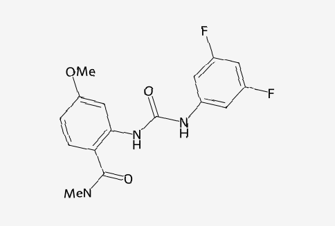 CNC(=O)c1ccc(OC)cc1NC(=O)Nc1cc(F)cc(F)c1